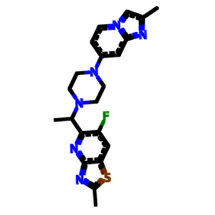 Cc1cn2ccc(N3CCN(C(C)c4nc5nc(C)sc5cc4F)CC3)cc2n1